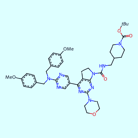 COc1ccc(CN(Cc2ccc(OC)cc2)c2ncc(-c3nc(N4CCOCC4)nc4c3CCN4C(=O)NCC3CCN(C(=O)OC(C)(C)C)CC3)cn2)cc1